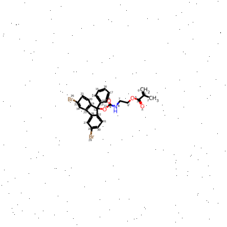 C=C(C)C(=O)OCCNC(=O)OC1(c2ccccc2)c2ccc(Br)cc2-c2cc(Br)ccc21